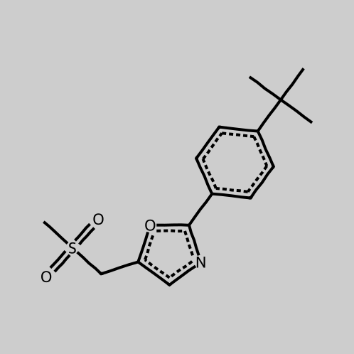 CC(C)(C)c1ccc(-c2ncc(CS(C)(=O)=O)o2)cc1